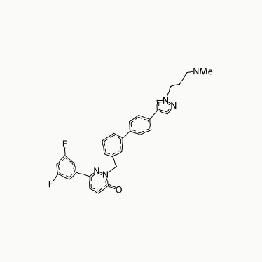 CNCCCn1cc(-c2ccc(-c3cccc(Cn4nc(-c5cc(F)cc(F)c5)ccc4=O)c3)cc2)cn1